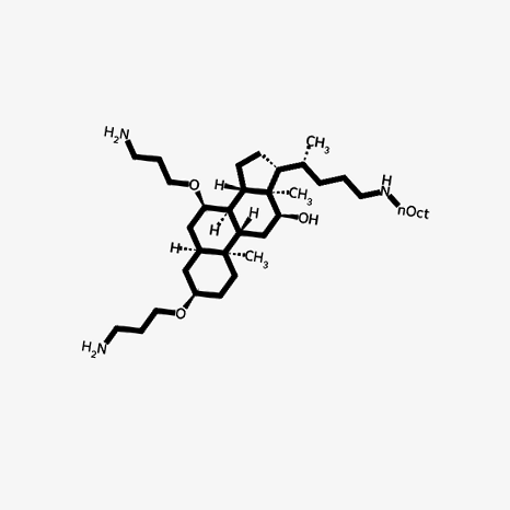 CCCCCCCCNCCC[C@@H](C)[C@H]1CC[C@H]2[C@@H]3[C@H](OCCCN)C[C@@H]4C[C@H](OCCCN)CC[C@]4(C)[C@H]3C[C@H](O)[C@]12C